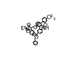 CCN(CC)C(=O)C(COC(=O)Cc1cc(C(=O)OCc2ccccc2)ccc1NC(=O)c1ccccc1-c1ccc(C(F)(F)F)cc1)c1ccccc1